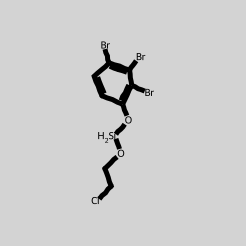 ClCCO[SiH2]Oc1ccc(Br)c(Br)c1Br